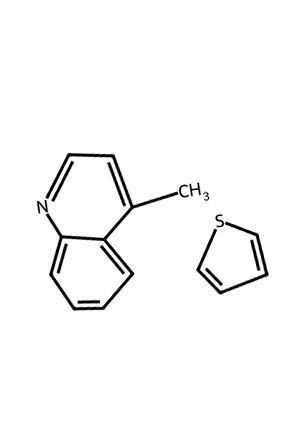 Cc1ccnc2ccccc12.c1ccsc1